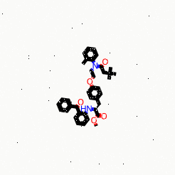 COC(=O)[C@H](Cc1ccc(OCCN(C(=O)CC(C)(C)C)c2ccccc2C)cc1)Nc1ccccc1C(=O)c1ccccc1